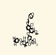 CCOc1cc(O[C@@H]2C[C@@H](C(N)=O)N(C(=O)[C@@H](NC(=O)O[C@@H]3C[C@@H]4C[C@@H]4C3)C(C)(C)C)C2)c2ccc(OCCN3CCOCC3)c(Cl)c2n1